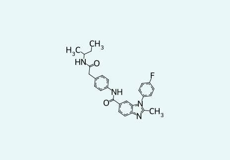 CCC(C)NC(=O)Cc1ccc(NC(=O)c2ccc3nc(C)n(-c4ccc(F)cc4)c3c2)cc1